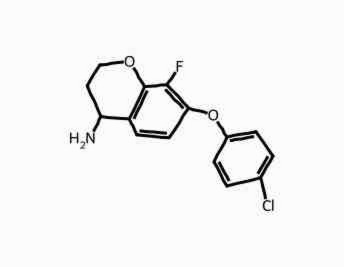 NC1CCOc2c1ccc(Oc1ccc(Cl)cc1)c2F